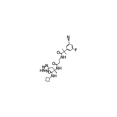 CC(C)(C(=O)NCCC(=O)N[C@@](C)(Cc1nn[nH]n1)C(=O)NC1CCC1)c1cc(F)cc(C#N)c1